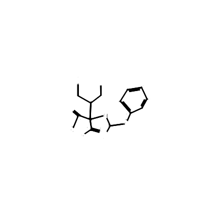 CCC(CC)C(NC(C)Nc1ccccc1)(C(N)=S)C(N)=S